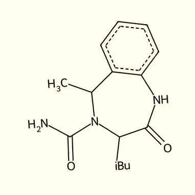 CCC(C)C1C(=O)Nc2ccccc2C(C)N1C(N)=O